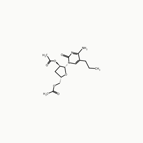 CCCc1cn([C@@H]2O[C@H](COC(C)=O)C[C@H]2OC(C)=O)c(=O)nc1N